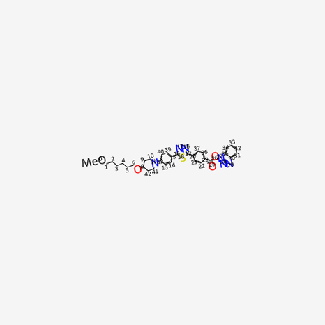 COCCCCCCOC1CCN(c2ccc(-c3nnc(-c4ccc(C(=O)On5nnc6ccccc65)cc4)s3)cc2)CC1